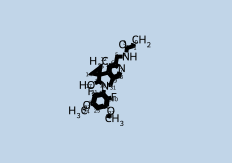 C=CC(=O)NCc1ncc2c(c1C)C1(CC1)C(O)N(c1c(F)c(OC)cc(OC)c1F)C2